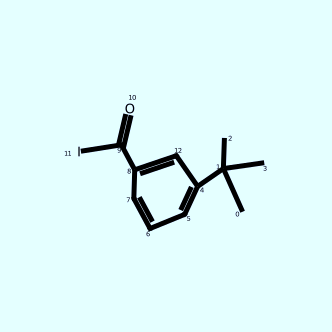 CC(C)(C)c1cccc(C(=O)I)c1